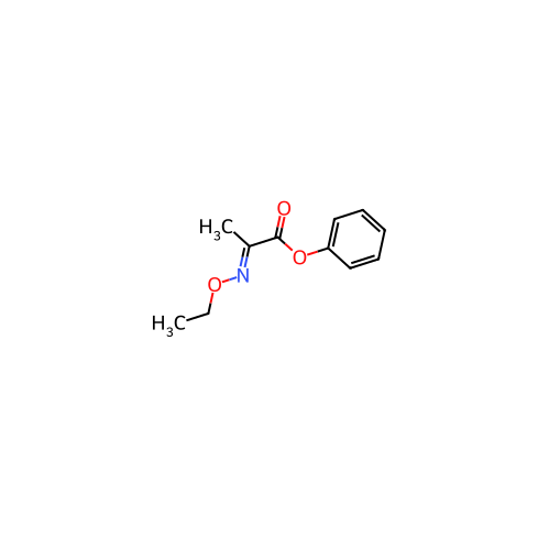 CCON=C(C)C(=O)Oc1ccccc1